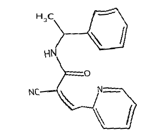 CC(NC(=O)C(C#N)=Cc1ccccn1)c1ccccc1